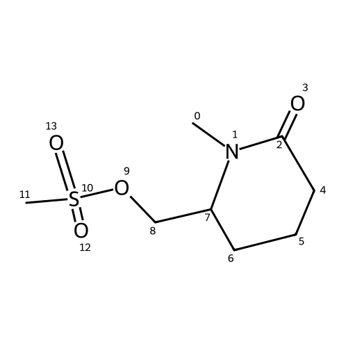 CN1C(=O)CCCC1COS(C)(=O)=O